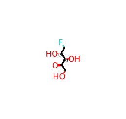 O=C(CO)[C@H](O)[C@H](O)CF